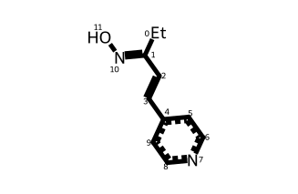 CCC(C=Cc1ccncc1)=NO